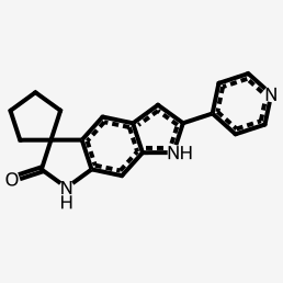 O=C1Nc2cc3[nH]c(-c4ccncc4)cc3cc2C12CCCC2